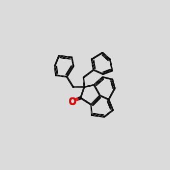 O=C1c2cccc3cccc(c23)C1(Cc1ccccc1)Cc1ccccc1